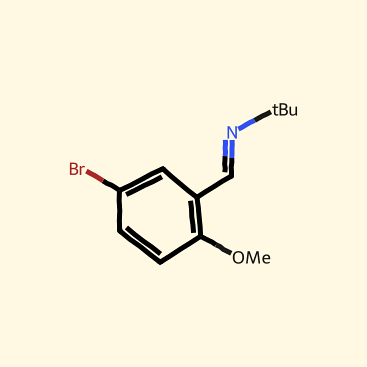 COc1ccc(Br)cc1C=NC(C)(C)C